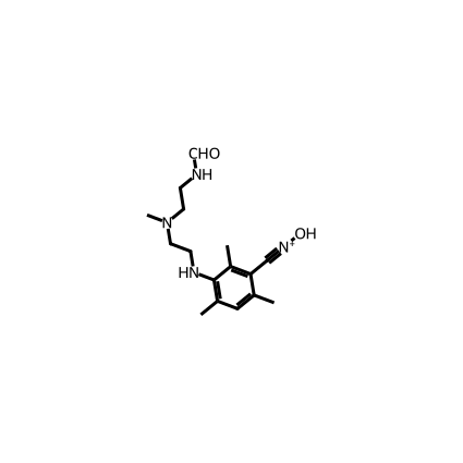 Cc1cc(C)c(NCCN(C)CCNC=O)c(C)c1C#[N+]O